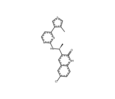 Cc1cscc1-c1ccnc(N[C@@H](C)c2cc3cc(Cl)ccc3[nH]c2=O)n1